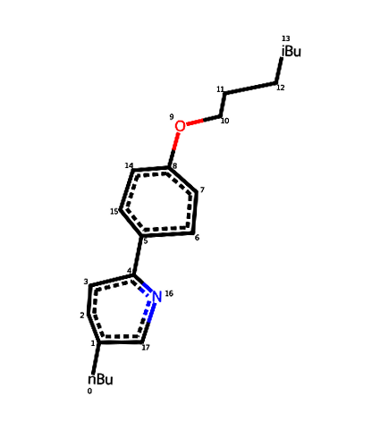 CCCCc1ccc(-c2ccc(OCCCC(C)CC)cc2)nc1